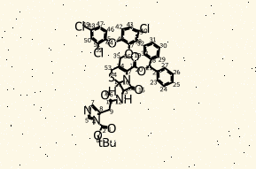 CC(C)(C)OC(=O)n1cncc1CC(=O)NC1C(=O)N2C(C(=O)OC(c3ccccc3)c3ccccc3)=C(COc3cc(Cl)ccc3Oc3ccc(Cl)cc3Cl)CS[C@@H]12